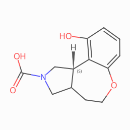 O=C(O)N1CC2CCOc3cccc(O)c3[C@H]2C1